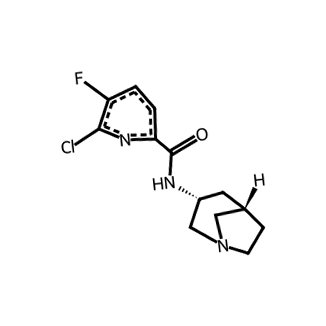 O=C(N[C@@H]1C[C@@H]2CCN(C2)C1)c1ccc(F)c(Cl)n1